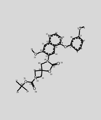 COc1cccc(Oc2ncnc3cc(OC)c(N4CC5(CN(C(=O)OC(C)(C)C)C5)OC4=O)cc23)c1